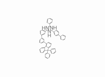 c1ccc(-c2ccc(C3NC(c4ccccc4)NC(c4cccc(-c5cccc(-c6cccc7c6-c6ccccc6C7(c6ccccc6)c6ccccc6)c5)c4)N3)cc2)cc1